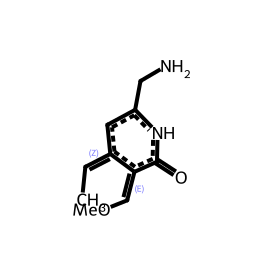 C/C=c1/cc(CN)[nH]c(=O)/c1=C/OC